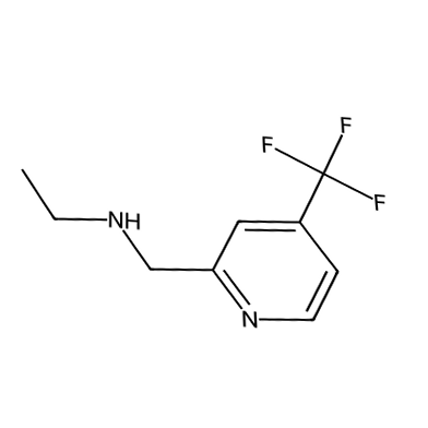 CCNCc1cc(C(F)(F)F)ccn1